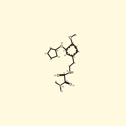 COc1ccc(CCNC(=O)C(=O)N(C)C)cc1OC1CCCC1